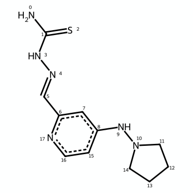 NC(=S)NN=Cc1cc(NN2CCCC2)ccn1